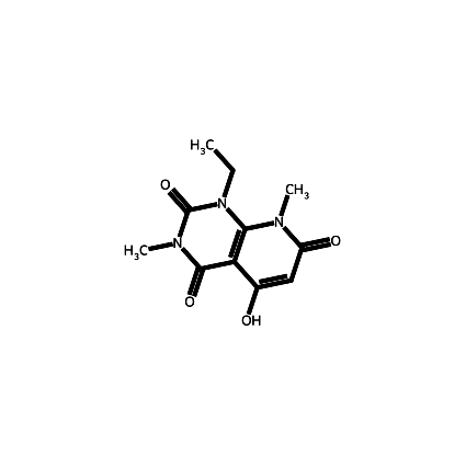 CCn1c(=O)n(C)c(=O)c2c(O)cc(=O)n(C)c21